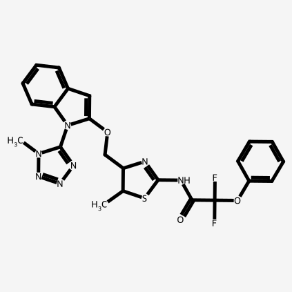 CC1SC(NC(=O)C(F)(F)Oc2ccccc2)=NC1COc1cc2ccccc2n1-c1nnnn1C